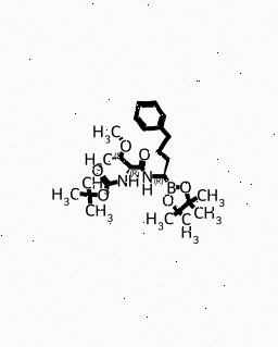 CO[C@@H](C)[C@@H](NC(=O)OC(C)(C)C)C(=O)N[C@@H](CCCc1ccccc1)B1OC(C)(C)C(C)(C)O1